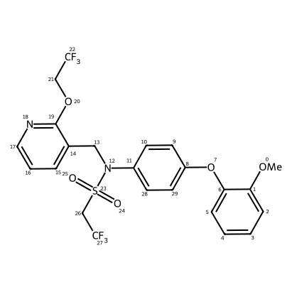 COc1ccccc1Oc1ccc(N(Cc2cccnc2OCC(F)(F)F)S(=O)(=O)CC(F)(F)F)cc1